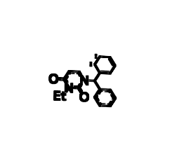 CCn1c(=O)ccn(C(C2=CC=C[C][C]2)c2ccccc2)c1=O